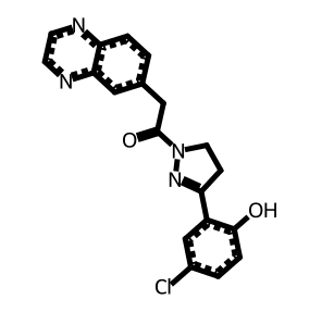 O=C(Cc1ccc2nccnc2c1)N1CCC(c2cc(Cl)ccc2O)=N1